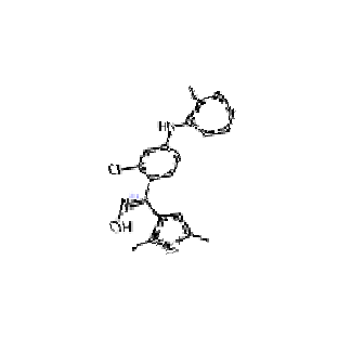 Cc1cc(/C(=N\O)c2ccc(Nc3ccccc3C)cc2Cl)c(C)s1